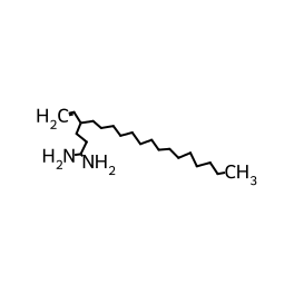 C=CC(CCCCCCCCCCCCCCC)CCC(N)N